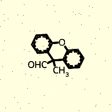 CC1(C=O)c2ccccc2Oc2ccccc21